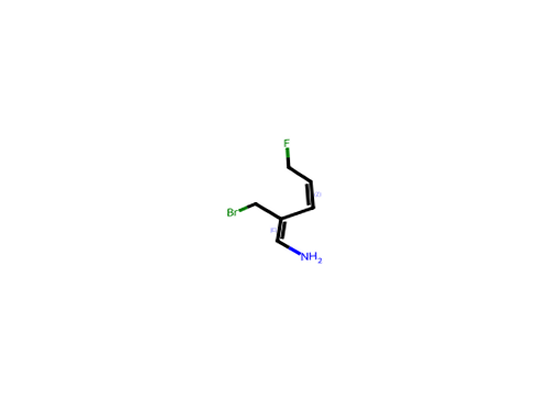 N/C=C(\C=C/CF)CBr